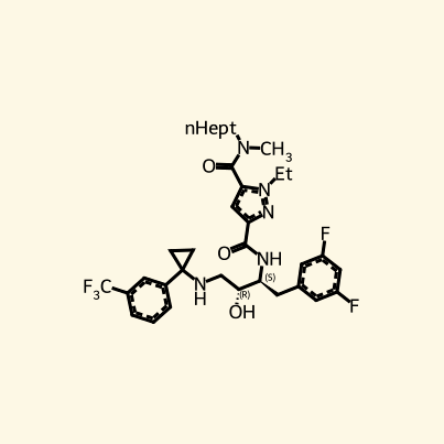 CCCCCCCN(C)C(=O)c1cc(C(=O)N[C@@H](Cc2cc(F)cc(F)c2)[C@H](O)CNC2(c3cccc(C(F)(F)F)c3)CC2)nn1CC